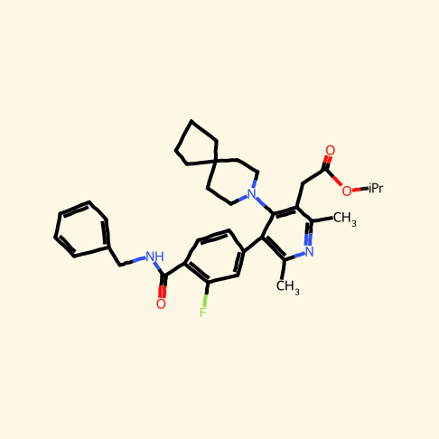 Cc1nc(C)c(-c2ccc(C(=O)NCc3ccccc3)c(F)c2)c(N2CCC3(CCCC3)CC2)c1CC(=O)OC(C)C